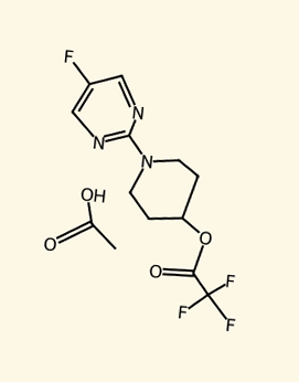 CC(=O)O.O=C(OC1CCN(c2ncc(F)cn2)CC1)C(F)(F)F